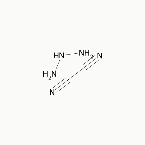 N#CC#N.NNN